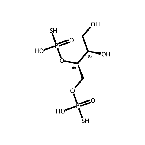 O=P(O)(S)OC[C@@H](OP(=O)(O)S)[C@H](O)CO